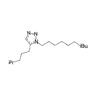 CCC(C)CCCCCCn1nncc1CCCC(C)C